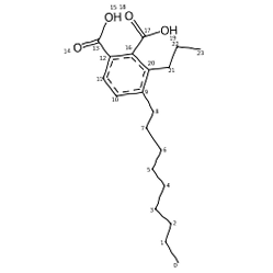 CCCCCCCCCc1ccc(C(=O)O)c(C(=O)O)c1CCC